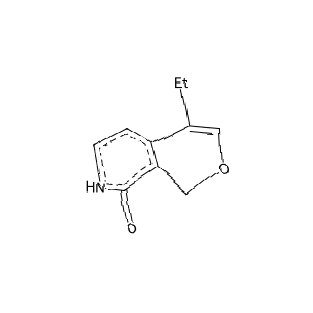 CCC1=COCc2c1cc[nH]c2=O